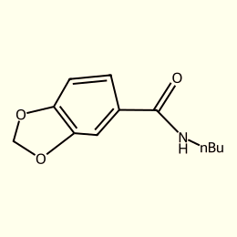 CCCCNC(=O)c1ccc2c(c1)OCO2